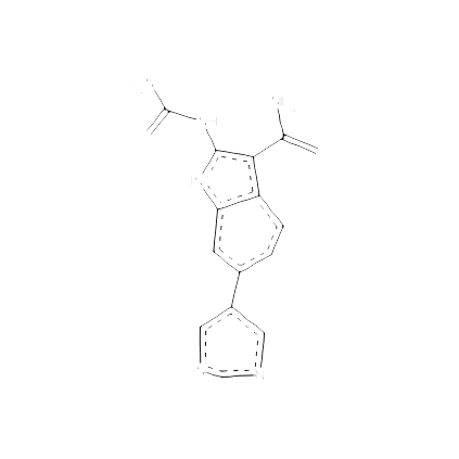 NC(=O)Nc1[nH]c2cc(-c3cncnc3)ccc2c1C(N)=O